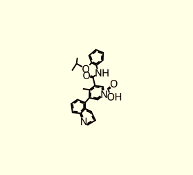 Cc1c(C(=O)Nc2ccccc2OC(C)C)cncc1-c1cccc2ncccc12.O=CO